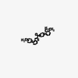 Cc1cccc(N2CCN(C(=O)c3cc4c(N5CCN(C)CC5)cccc4s3)CC2)c1C